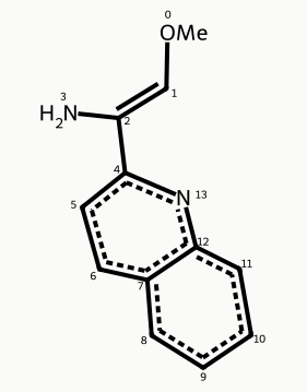 COC=C(N)c1ccc2ccccc2n1